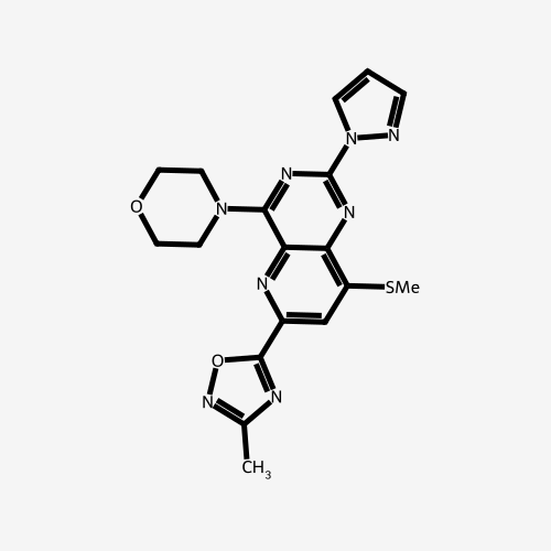 CSc1cc(-c2nc(C)no2)nc2c(N3CCOCC3)nc(-n3cccn3)nc12